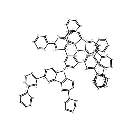 c1ccc(-c2ccc3c(c2)c2cc(-c4cccc(-c5ccccc5)n4)ccc2n3-c2cc(-c3nc(-c4ccccc4)nc(-c4ccccc4)n3)c(-n3c4ccccc4c4ccc(-c5cccc(-c6ccccc6)n5)cc43)c(-c3nc(-c4ccccc4)nc(-c4ccccc4)n3)c2)cc1